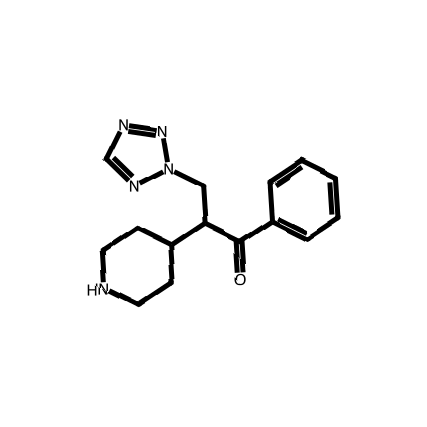 O=C(c1ccccc1)C(Cn1ncnn1)C1CCNCC1